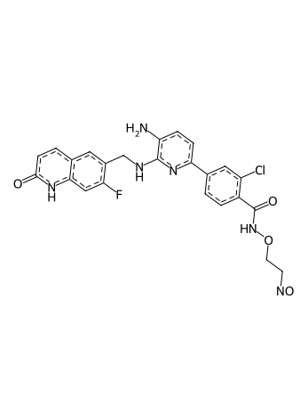 Nc1ccc(-c2ccc(C(=O)NOCCN=O)c(Cl)c2)nc1NCc1cc2ccc(=O)[nH]c2cc1F